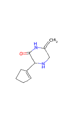 C=C1CNC(C2=CCCC2)C(=O)N1